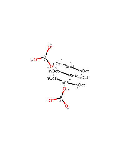 CCCCCCC[CH2][Sn+2][CH2]CCCCCCC.CCCCCCC[CH2][Sn+2][CH2]CCCCCCC.CCCCCCC[CH2][Sn+2][CH2]CCCCCCC.[O-]B([O-])[O-].[O-]B([O-])[O-]